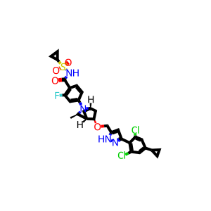 C[C@@H]1[C@@H]2C[C@@H](C[C@H]2OCc2cc(-c3c(Cl)cc(C4CC4)cc3Cl)n[nH]2)N1c1ccc(C(=O)NS(=O)(=O)C2CC2)c(F)c1